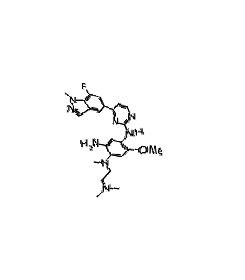 COc1cc(N(C)CCN(C)C)c(N)cc1Nc1nccc(-c2cc(F)c3c(cnn3C)c2)n1